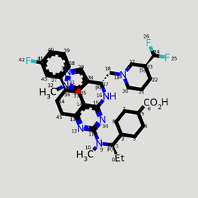 CC[C@H](C1CCC(C(=O)O)CC1)N(C)c1nc2c(c(N[C@@H](CN3CCC[C@H](C(F)F)C3)c3cnn(C)c3)n1)C[C@H](c1cccc(F)c1)CC2